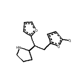 Clc1ccc(CC(c2ccco2)C2CCCN2)o1